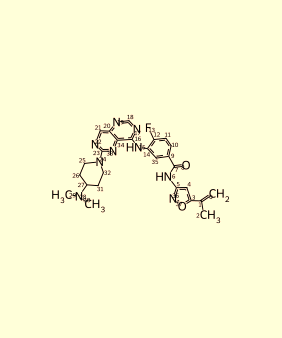 C=C(C)c1cc(NC(=O)c2ccc(F)c(Nc3ncnc4cnc(N5CCC(N(C)C)CC5)nc34)c2)no1